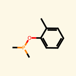 Cc1ccccc1OP(C)C